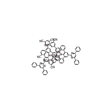 N#Cc1cc(C#N)cc(-c2ccc3c(c2)c2ccccc2n3-c2c(-c3ccccc3C#N)cc(-c3nc(-c4ccccc4)cc(-c4ccccc4)n3)cc2-c2ccc(-c3cccc(-c4cc(-c5nc(-c6ccccc6)cc(-c6ccccc6)n5)cc(-c5ccccc5C#N)c4-n4c5ccc(-c6cc(C#N)cc(C#N)c6)cc5c5cc(-c6cc(C#N)cc(C#N)c6)ccc54)c3C#N)cc2C#N)c1